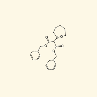 O=C(OCc1ccccc1)C(C(=O)OCc1ccccc1)N1CCCCCO1